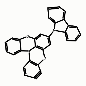 c1ccc2c(c#1)Oc1cc(-n3c4ccccc4c4ccccc43)cc3c1B2c1ccccc1O3